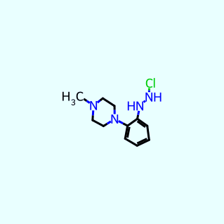 CN1CCN(c2ccccc2NNCl)CC1